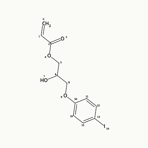 C=CC(=O)OCC(O)COc1ccc(I)cc1